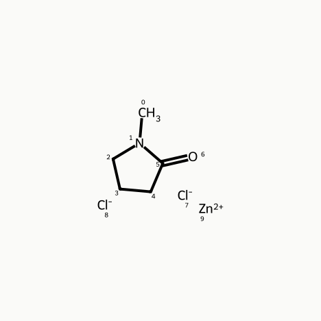 CN1CCCC1=O.[Cl-].[Cl-].[Zn+2]